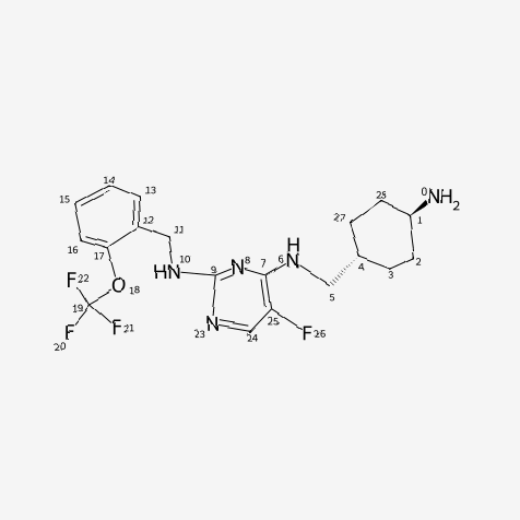 N[C@H]1CC[C@H](CNc2nc(NCc3ccccc3OC(F)(F)F)ncc2F)CC1